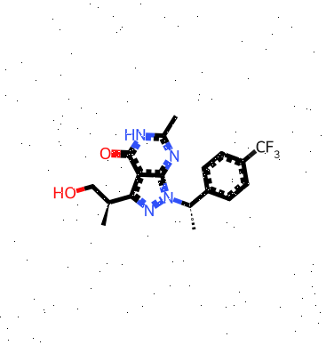 Cc1nc2c(c([C@@H](C)CO)nn2[C@@H](C)c2ccc(C(F)(F)F)cc2)c(=O)[nH]1